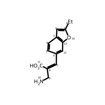 CCc1cc2ccc(/C=C(/CN)C(=O)O)cc2o1